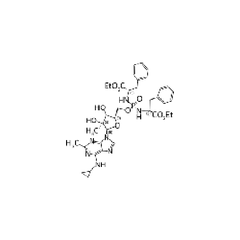 CCOC(=O)[C@H](Cc1ccccc1)NP(=O)(N[C@@H](Cc1ccccc1)C(=O)OCC)OC[C@H]1O[C@@H](n2cnc3c(NC4CC4)nc(C)nc32)[C@@](C)(O)C1O